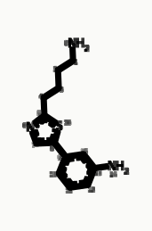 NCCCCc1ncc(-c2cccc(N)c2)s1